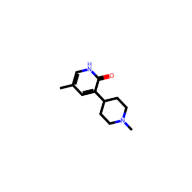 Cc1c[nH]c(=O)c(C2CCN(C)CC2)c1